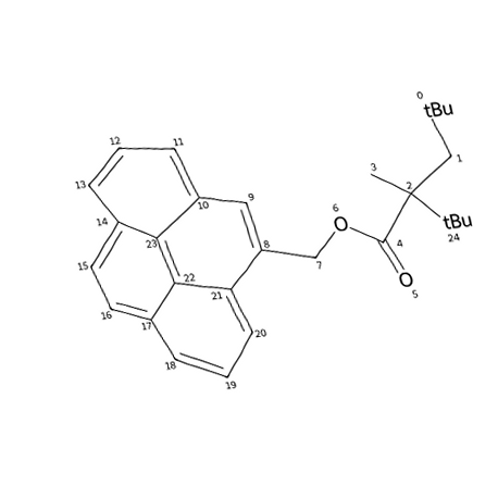 CC(C)(C)CC(C)(C(=O)OCc1cc2cccc3ccc4cccc1c4c32)C(C)(C)C